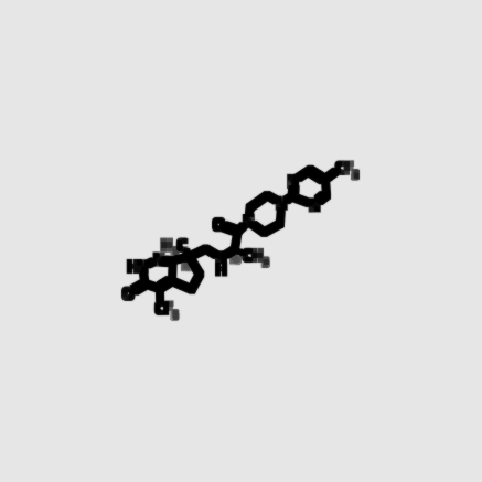 C[C@H](NC[C@]1(C)CCc2c1n[nH]c(=O)c2C(F)(F)F)C(=O)N1CCN(c2ncc(C(F)(F)F)cn2)CC1